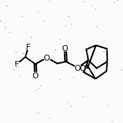 O=C(COC(=O)C(F)F)OC12CC3CC(C1)C(=O)C(C3)C2